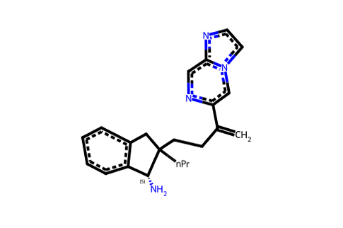 C=C(CCC1(CCC)Cc2ccccc2[C@H]1N)c1cn2ccnc2cn1